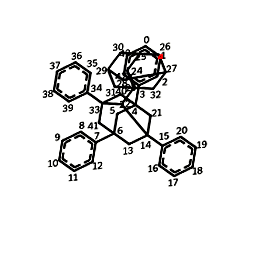 c1ccc(C23CC4(c5ccccc5)CC(c5ccccc5)(C2)C(C25CC6CC(CC(C6)C2)C5)C(c2ccccc2)(C3)C4)cc1